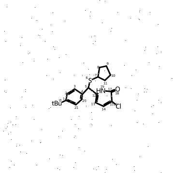 CC(C)(C)c1ccc(C(SC2CCCC2)c2ccc(Cl)c(=O)[nH]2)cc1